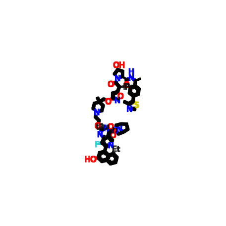 CCc1cccc2cc(O)cc(-c3ncc4c(N5CC6CCC(C5)N6C(=O)OC(C)(C)C)nc(OCCN5CCC(C)(COc6cc([C@@H](C(=O)N7C[C@H](O)C[C@H]7C(=O)N[C@@H](C)c7ccc(-c8scnc8C)cc7)C(C)C)on6)CC5)nc4c3F)c12